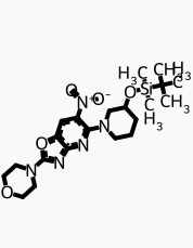 CC(C)(C)[Si](C)(C)OC1CCCN(c2nc3nc(N4CCOCC4)oc3cc2[N+](=O)[O-])C1